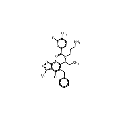 CCC(c1nc2onc(C)c2c(=O)n1Cc1ccccc1)N(CCCN)C(=O)c1ccc(C)c(F)c1